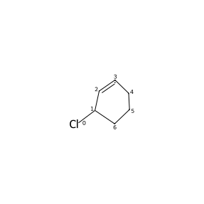 ClC1C=[C]CCC1